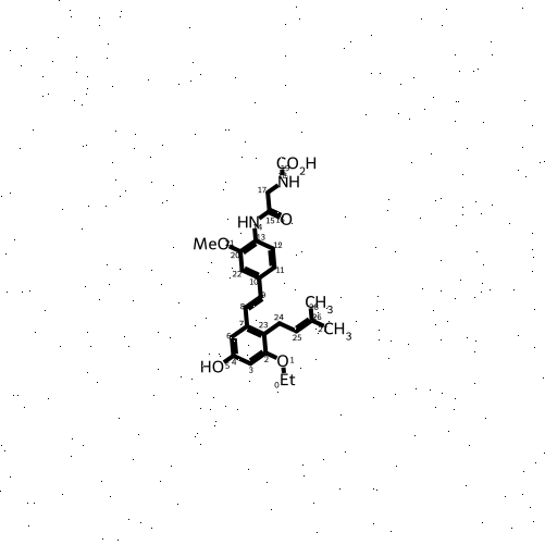 CCOc1cc(O)cc(C=Cc2ccc(NC(=O)CNC(=O)O)c(OC)c2)c1CC=C(C)C